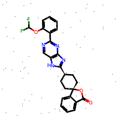 O=C1O[C@]2(CC[C@H](c3nc4nc(-c5ccccc5OC(F)F)ncc4[nH]3)CC2)c2ccccc21